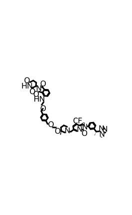 C[C@H](c1cccc(-n2cc3c(C(F)(F)F)cc(CN4CCC[C@@](C)(OCCOCc5ccc(COCCNc6cccc7c6C(=O)N(C6CCC(=O)NC6=O)C7=O)cc5)C4)cn3c2=O)c1)c1nncn1C